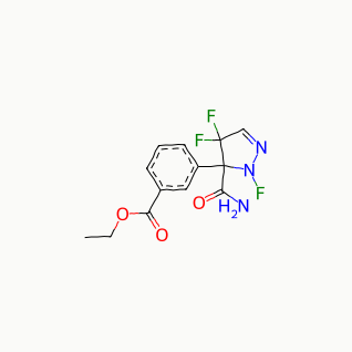 CCOC(=O)c1cccc(C2(C(N)=O)N(F)N=CC2(F)F)c1